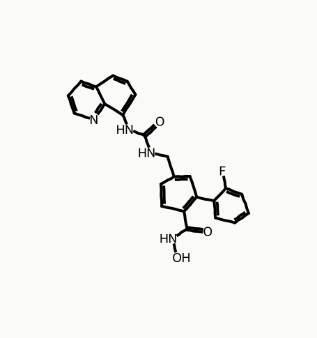 O=C(NCc1ccc(C(=O)NO)c(-c2ccccc2F)c1)Nc1cccc2cccnc12